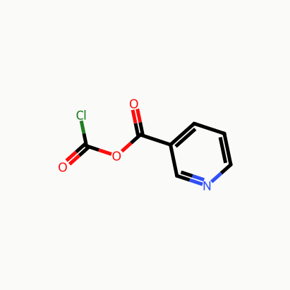 O=C(Cl)OC(=O)c1cccnc1